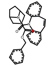 O=C(OCc1ccccc1)N1CC2CCC(C1)N2C(=O)N1c2ccccc2C=Cc2ccccc21